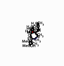 CC[C@H]1OC(=O)C[C@@H](O)[C@H](C)[C@@H](O[C@@H]2O[C@H](C)[C@@H](O)C(N(C)C)C2O)[C@@H](CCn2cc(-c3ccc(N(C)C)cc3)nn2)C[C@@H](C)C(=O)/C=C/C(C)=C/[C@@H]1CO[C@@H]1OC(C)C(O)=C(OC)CC1OC